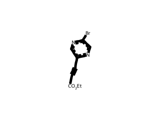 CCOC(=O)C#Cc1cnc(Br)cn1